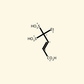 CCC(C=CC(=O)O)(S(=O)(=O)O)S(=O)(=O)O